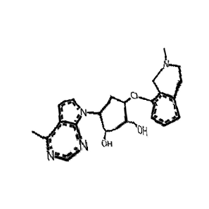 Cc1ncnc2c1ccn2C1CC(Oc2cccc3c2CN(C)CC3)[C@@H](O)[C@H]1O